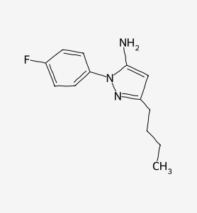 CCCCc1cc(N)n(-c2ccc(F)cc2)n1